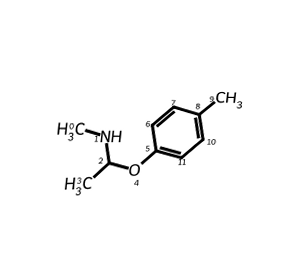 CNC(C)Oc1ccc(C)cc1